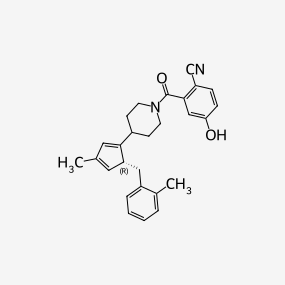 CC1=C[C@@H](Cc2ccccc2C)C(C2CCN(C(=O)c3cc(O)ccc3C#N)CC2)=C1